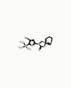 C[Si](C)(C)c1oc(N2C[C@@]3(CN4CCC3CC4)OC2=O)cc1Br